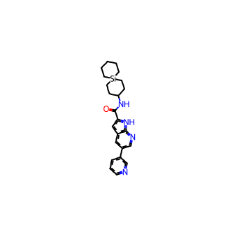 O=C(NC1CC[Si]2(CCCCC2)CC1)c1cc2cc(-c3cccnc3)cnc2[nH]1